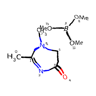 CC1=NC(=O)CN1C.COB(OC)OC